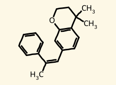 CC(=Cc1ccc2c(c1)OCCC2(C)C)c1ccccc1